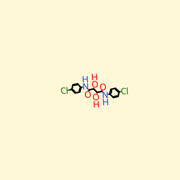 O=C(Nc1ccc(Cl)cc1)C(O)C(O)C(=O)Nc1ccc(Cl)cc1